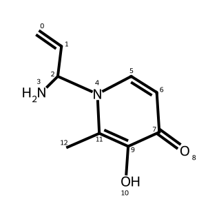 C=CC(N)n1ccc(=O)c(O)c1C